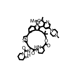 CCn1c(-c2cc(N3CCN(C)CC3)cnc2[C@H](C)OC)c2c3cc(ccc31)C1CSC(=N1)C[C@H](NC(=O)N1CCCC[C@@H]1C)C(=O)N1CCC[C@@](C)(N1)C(=O)OCC(C)(C)C2